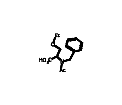 CCOCC(C(=O)O)N(Cc1ccccc1)C(C)=O